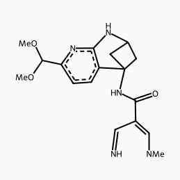 CN/C=C(\C=N)C(=O)NC12CC(C1)Nc1nc(C(OC)OC)ccc12